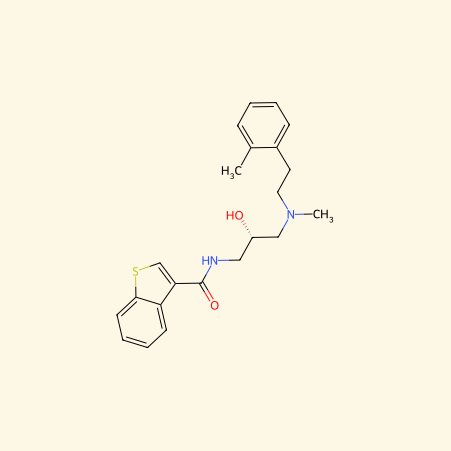 Cc1ccccc1CCN(C)C[C@@H](O)CNC(=O)c1csc2ccccc12